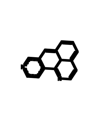 C1=CC2=Cc3cnccc3C3=NC=CC(=C1)C23